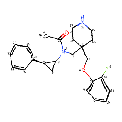 O=C(N(CC1(COc2ccccc2F)CCNCC1)[C@@H]1C[C@H]1c1ccccc1)C(F)(F)F